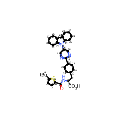 CC(C)(C)c1ccc(C(=O)N[C@@H](Cc2ccc(-c3ncc(-n4c5ccccc5c5ccccc54)cn3)cc2)C(=O)O)s1